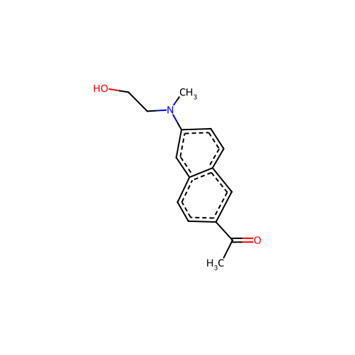 CC(=O)c1ccc2cc(N(C)CCO)ccc2c1